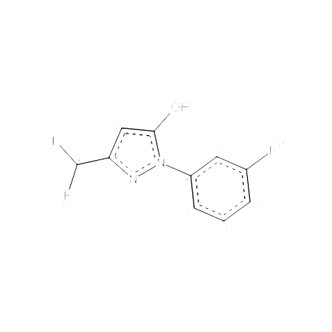 Oc1cc(C(F)F)nn1-c1cccc(F)c1